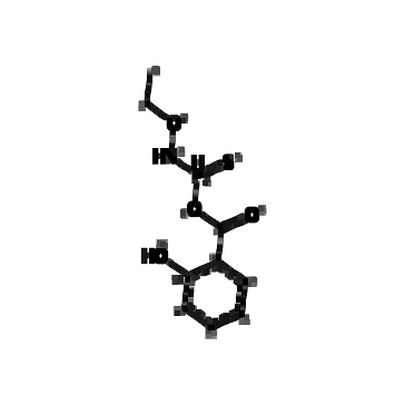 CCON[PH](=S)OC(=O)c1ccccc1O